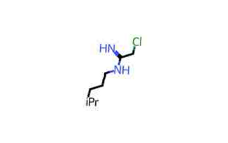 CC(C)CCCNC(=N)CCl